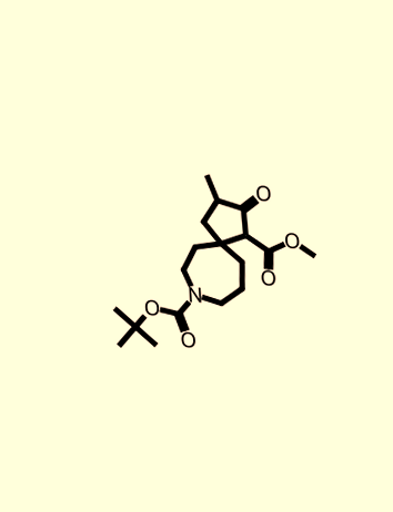 COC(=O)C1C(=O)C(C)CC12CCCN(C(=O)OC(C)(C)C)CC2